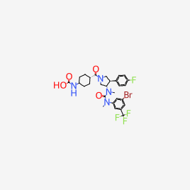 CN(C(=O)N(C)[C@@H]1CN(C(=O)[C@H]2CC[C@H](NC(=O)O)CC2)C[C@H]1c1ccc(F)cc1)c1cc(Br)cc(C(F)(F)F)c1